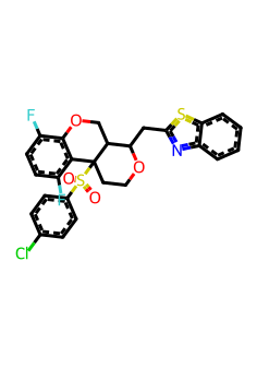 O=S(=O)(c1ccc(Cl)cc1)C12CCOC(Cc3nc4ccccc4s3)C1COc1c(F)ccc(F)c12